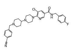 N#Cc1ccc(CN2CCC(N3CCN(c4ncc(C(=O)NCc5ccc(F)cc5)cc4Cl)CC3)CC2)cc1